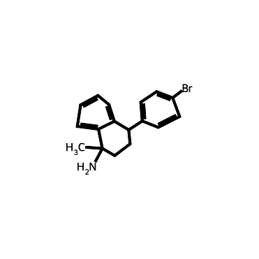 CC1(N)CCC(c2ccc(Br)cc2)c2ccccc21